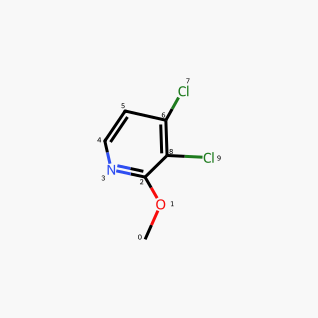 COc1nccc(Cl)c1Cl